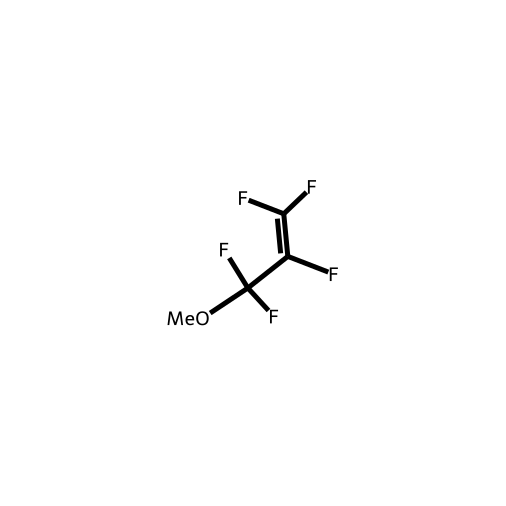 [CH2]OC(F)(F)C(F)=C(F)F